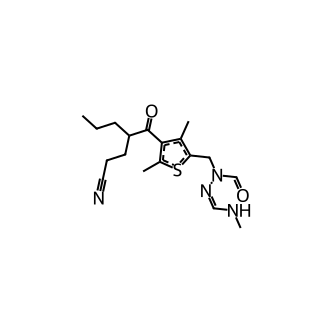 CCCC(CCC#N)C(=O)c1c(C)sc(CN(C=O)/N=C\NC)c1C